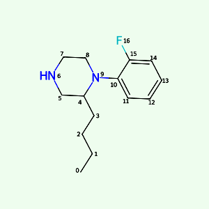 CCCCC1CNCCN1c1ccccc1F